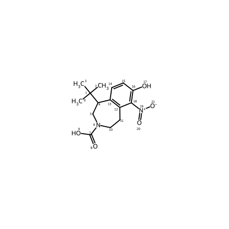 CC(C)(C)C1CN(C(=O)O)CCc2c1ccc(O)c2[N+](=O)[O-]